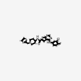 O=C(NC1CCN(Cc2nccs2)CC1)c1cc2c(Nc3ccc(F)c(Cl)c3)ncnc2s1